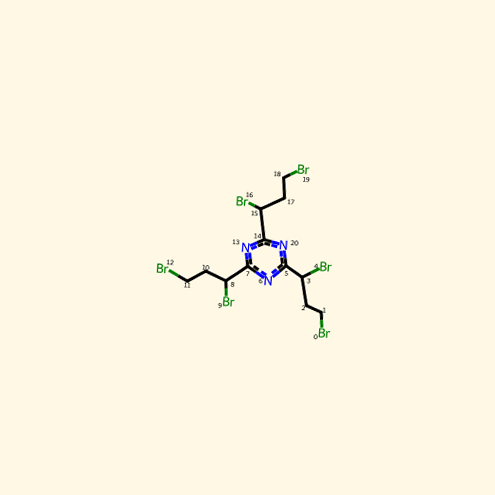 BrCCC(Br)c1nc(C(Br)CCBr)nc(C(Br)CCBr)n1